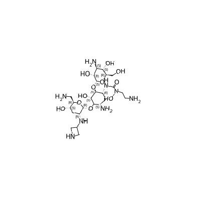 NCCN(O)C(=O)N[C@@H]1C[C@H](N)C(O[C@H]2O[C@H](CN)[C@@H](O)C[C@H]2NC2CNC2)[C@H](O)[C@H]1O[C@H]1O[C@H](CO)[C@@H](O)[C@H](N)[C@H]1O